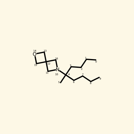 CCCCC(C)(CCCC)N1CC2(COC2)C1